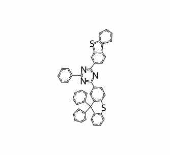 c1ccc(-c2nc(-c3ccc4c(c3)C(c3ccccc3)(c3ccccc3)c3ccccc3S4)nc(-c3ccc4c(c3)sc3ccccc34)n2)cc1